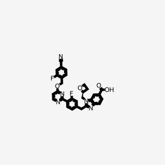 N#Cc1ccc(COc2ccnc(-c3ccc(Cc4nc5ccc(C(=O)O)cc5n4C[C@@H]4CCO4)cc3F)n2)c(F)c1